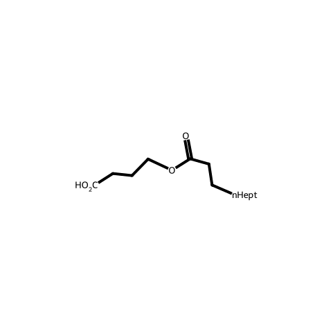 CCCCCCCCCC(=O)OCCCC(=O)O